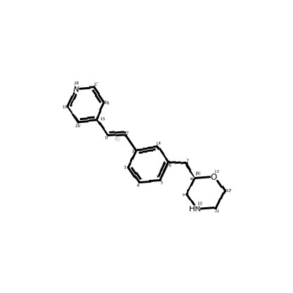 C(=C\c1cccc(C[C@@H]2CNCCO2)c1)/c1ccncc1